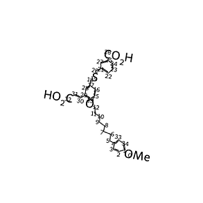 COc1ccc(CCCCCCCCOc2ccc(CSCc3cccc(C(=O)O)c3)cc2C=CC(=O)O)cc1